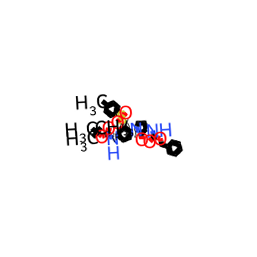 Cc1ccc(S(=O)(=O)C[C@@H]2C[C@H](NC(=O)OC(C)(C)C)CC[C@@H]2N2CCC(NC(=O)OCc3ccccc3)C2=O)cc1